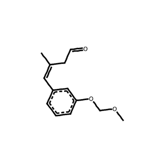 COCOc1cccc(C=C(C)CC=O)c1